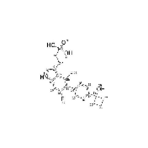 O=P(O)(O)CSc1c[nH]c2cc(F)c(-c3ccc(C4(O)CCC4)cc3)c(F)c12